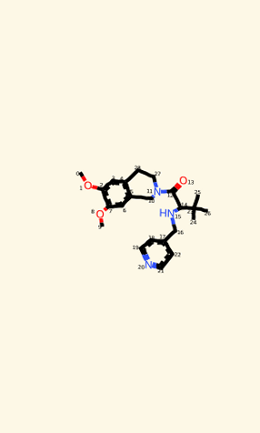 COc1cc2c(cc1OC)CN(C(=O)C(NCc1ccncc1)C(C)(C)C)CC2